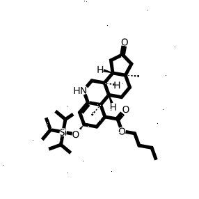 CCCCOC(=O)C1C[C@H](O[Si](C(C)C)(C(C)C)C(C)C)C=C2NC[C@H]3[C@@H]4CC(=O)C[C@@]4(C)CC[C@@H]3[C@]21C